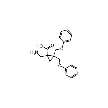 NCC1(C(=O)O)CC1(COc1ccccc1)COc1ccccc1